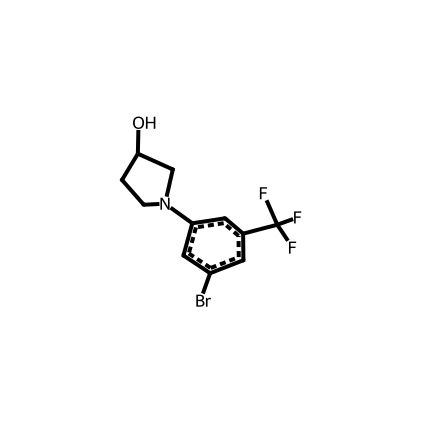 OC1CCN(c2cc(Br)cc(C(F)(F)F)c2)C1